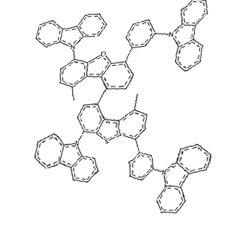 Cc1ccc(-n2c3ccccc3c3ccccc32)c2oc3c(-c4cccc(-n5c6ccccc6c6ccccc65)c4)ccc(-c4ccc(-n5c6ccccc6c6ccccc65)c5sc6c(-c7cccc(-n8c9ccccc9c9ccccc98)c7)ccc(C)c6c45)c3c12